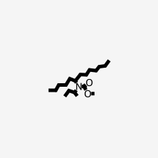 CCCCCCCC(CCCCC)N(C(=O)OC)C(C)CC